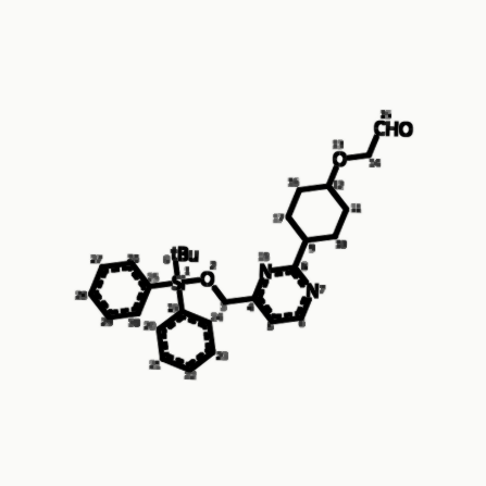 CC(C)(C)[Si](OCc1ccnc(C2CCC(OCC=O)CC2)n1)(c1ccccc1)c1ccccc1